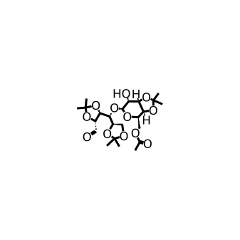 CC(=O)OC[C@H]1O[C@@H](O[C@@H]([C@@H]2OC(C)(C)O[C@H]2C=O)[C@H]2COC(C)(C)O2)[C@H](O)[C@H]2OC(C)(C)O[C@H]21